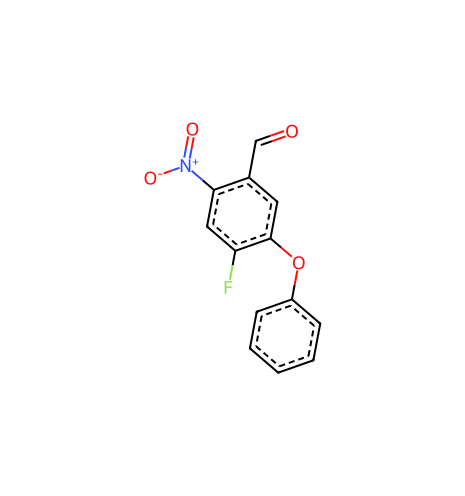 O=Cc1cc(Oc2ccccc2)c(F)cc1[N+](=O)[O-]